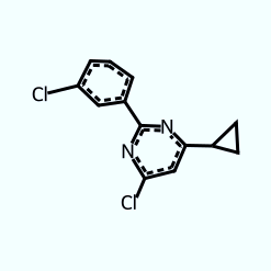 Clc1cccc(-c2nc(Cl)cc(C3CC3)n2)c1